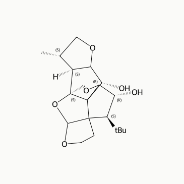 C[C@@H]1COC2[C@H]1[C@]13COC4[C@H](O)[C@@H](C(C)(C)C)C5(CCOC5O1)C43[C@H]2O